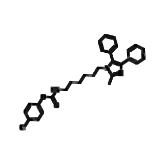 Cc1nc(-c2ccccc2)c(-c2ccccc2)n1CCCCCCNC(=O)Oc1ccc(Cl)cc1